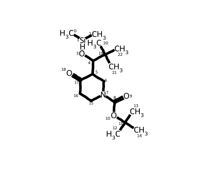 C[SiH](C)OC(C1CN(C(=O)OC(C)(C)C)CCC1=O)C(C)(C)C